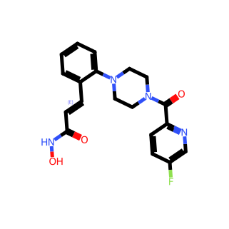 O=C(/C=C/c1ccccc1N1CCN(C(=O)c2ccc(F)cn2)CC1)NO